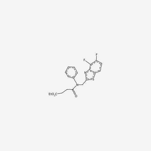 CCOC(=O)CCC(=O)N(Cc1nc2c(F)c(F)ccc2s1)c1ccccc1